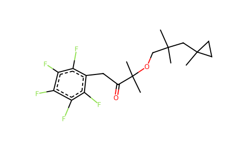 CC(C)(COC(C)(C)C(=O)Cc1c(F)c(F)c(F)c(F)c1F)CC1(C)CC1